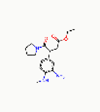 CCOC(=O)CC(C(=O)N1CCCC1)c1ccc(NC)c(N)c1